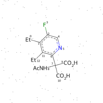 CCc1c(F)cnc(C(NC(C)=O)(C(=O)O)C(=O)O)c1CC